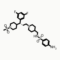 CS(=O)(=O)N1CCC([C@@H](CCN2CCC(CNS(=O)(=O)c3ccc(N)cc3)CC2)c2cc(F)cc(F)c2)CC1